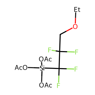 CCOCC(F)(F)C(F)(F)[Si](OC(C)=O)(OC(C)=O)OC(C)=O